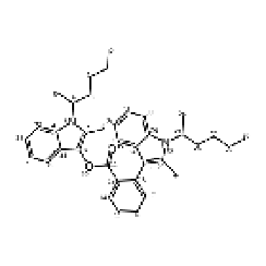 CCCCC(C)n1c(C)c(OC(=O)c2ccccc2-c2c(C)n(C(C)CCCC)c3ccccc23)c2ccccc21